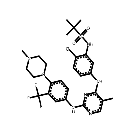 Cc1cnc(Nc2ccc(N3CCN(C)CC3)c(C(F)(F)F)c2)nc1Nc1ccc(Cl)c(NS(=O)(=O)C(C)(C)C)c1